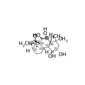 C=C1C(=O)[C@]23[C@H](O)[C@H]1CC[C@H]2[C@@]12CO[C@]3(O)[C@@H](O)[C@@H]1C(C)(C)C[C@H](O)[C@H]2O